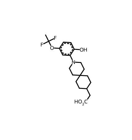 CC(F)(F)Oc1ccc(O)c(N2CCC3(CCC(CC(=O)O)CC3)CC2)c1